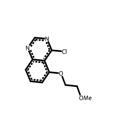 COCCOc1cccc2ncnc(Cl)c12